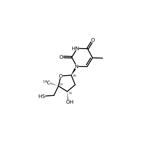 Cc1cn([C@H]2C[C@H](O)[C@@]([14CH3])(CS)O2)c(=O)[nH]c1=O